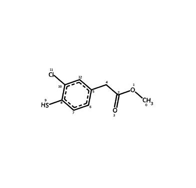 COC(=O)Cc1ccc(S)c(Cl)c1